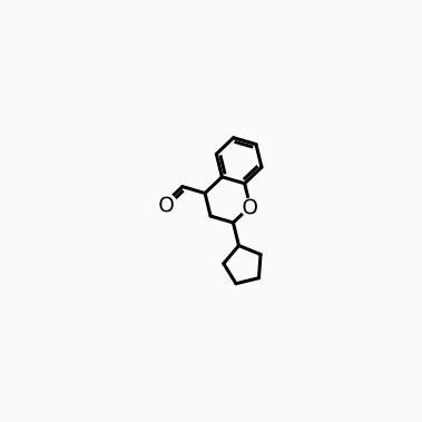 O=CC1CC(C2CCCC2)Oc2ccccc21